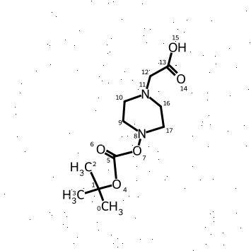 CC(C)(C)OC(=O)ON1CCN(CC(=O)O)CC1